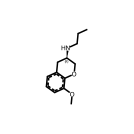 CCCN[C@H]1COc2c(cccc2OC)C1